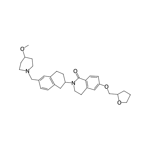 COC1CCN(Cc2ccc3c(c2)CCC(N2CCc4cc(OCC5CCCO5)ccc4C2=O)C3)CC1